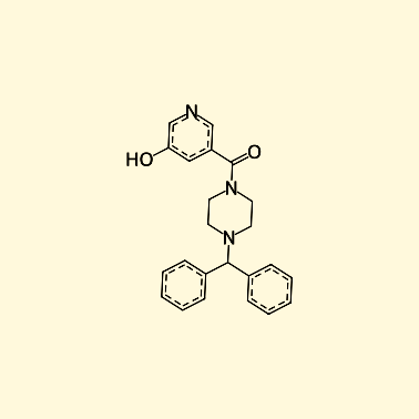 O=C(c1cncc(O)c1)N1CCN(C(c2ccccc2)c2ccccc2)CC1